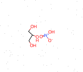 O=[N+]([O-])O.OCC(O)CO